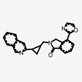 O=C1c2cccc(-c3ncco3)c2CN1CC1CC1c1cc2ccccc2cn1